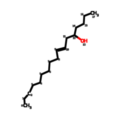 CCCCCCCCCC=CCC(O)CCCC